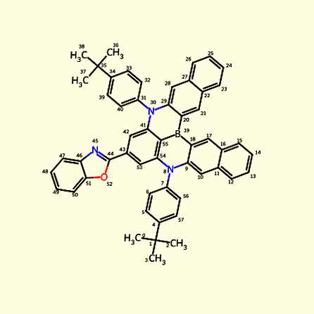 CC(C)(C)c1ccc(N2c3cc4ccccc4cc3B3c4cc5ccccc5cc4N(c4ccc(C(C)(C)C)cc4)c4cc(-c5nc6ccccc6o5)cc2c43)cc1